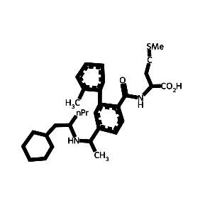 CCCC(CC1CCCCC1)NC(C)c1ccc(C(=O)NC(CCSC)C(=O)O)c(-c2ccccc2C)c1